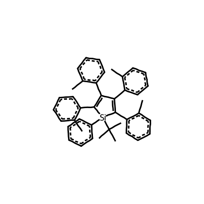 Cc1ccccc1C1=C(c2ccccc2C)[Si](c2ccccc2)(C(C)(C)C)C(c2ccccc2C)=C1c1ccccc1C